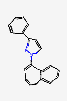 c1ccc(-c2ccn(-c3cccc4ccccc34)n2)cc1